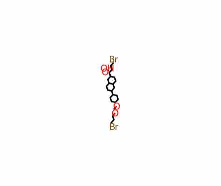 OOC(CCCBr)C1CCC2CC(C3CCC(OCOCCCBr)CC3)CCC2C1